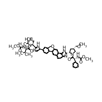 CC[C@@H](c1ncc(-c2ccc3c(c2)COc2cc4c(ccc5nc([C@@H]6C[C@H](COC)CN6C(=O)[C@H](NC(=O)OC)c6ccccc6)[nH]c54)cc2-3)[nH]1)N(C(=O)[C@@H](NC(=O)OC)C(C)C)C(C)C